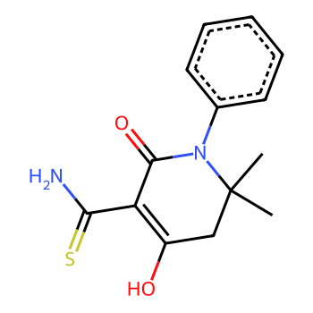 CC1(C)CC(O)=C(C(N)=S)C(=O)N1c1ccccc1